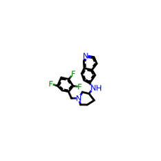 Fc1cc(F)c(F)c(CN2CCCC(Nc3ccc4cnccc4c3)C2)c1